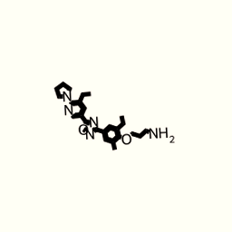 CCc1cc(-c2nc(-c3cc(C)c(OCCCN)c(CC)c3)no2)cnc1N1CCCC1